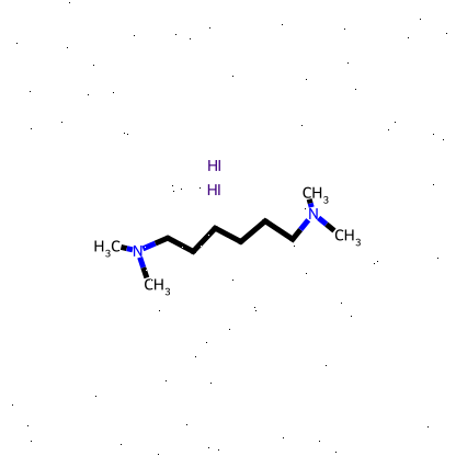 CN(C)CCCCCCN(C)C.I.I